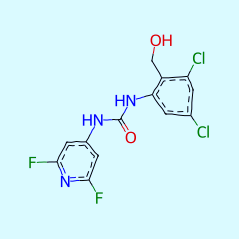 O=C(Nc1cc(F)nc(F)c1)Nc1cc(Cl)cc(Cl)c1CO